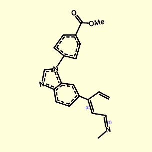 C=C/C(=C\C=N/C)c1ccc2ncn(-c3ccc(C(=O)OC)cc3)c2c1